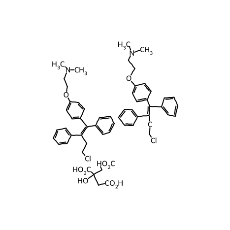 CN(C)CCOc1ccc(/C(=C(/CCCl)c2ccccc2)c2ccccc2)cc1.CN(C)CCOc1ccc(/C(=C(/CCCl)c2ccccc2)c2ccccc2)cc1.O=C(O)CC(O)(CC(=O)O)C(=O)O